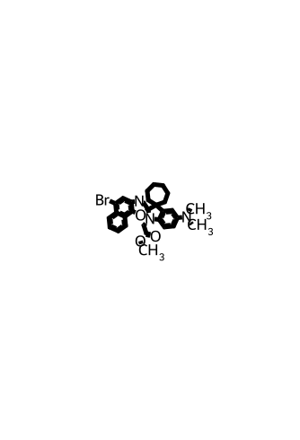 COC(=O)CN1c2ccc(N(C)C)cc2C2(CCCCCC2)C12C=Nc1cc(Br)c3ccccc3c1O2